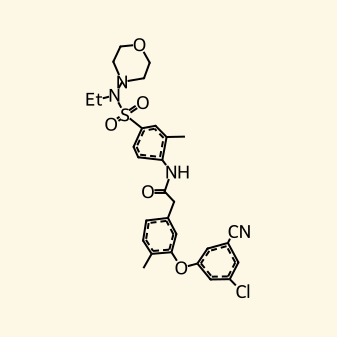 CCN(N1CCOCC1)S(=O)(=O)c1ccc(NC(=O)Cc2ccc(C)c(Oc3cc(Cl)cc(C#N)c3)c2)c(C)c1